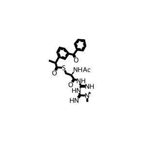 CC(=O)N[C@H](CSC(=O)C(C)c1cccc(C(=O)c2ccccc2)c1)C(=O)NC(=N)NC(=N)N(C)C